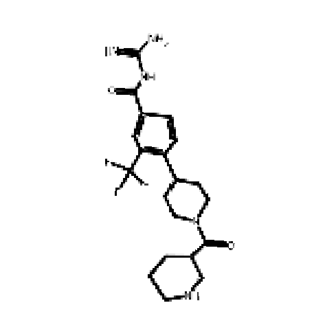 N=C(N)NC(=O)c1ccc(C2CCN(C(=O)C3CCCNC3)CC2)c(C(F)(F)F)c1